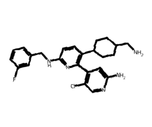 NCC1CCC(c2ccc(NCc3cccc(F)c3)nc2-c2cc(N)ncc2Cl)CC1